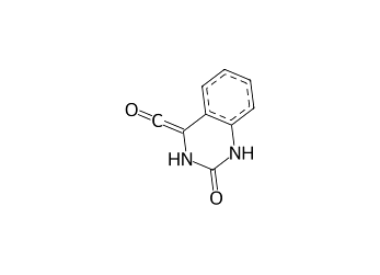 O=C=C1NC(=O)Nc2ccccc21